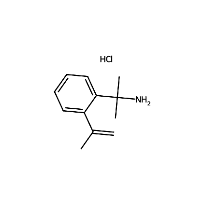 C=C(C)c1ccccc1C(C)(C)N.Cl